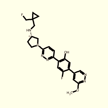 COc1cc(-c2cc(O)c(-c3ccc(N4CC[C@H](NCC5(CF)CC5)C4)nn3)cc2F)cnn1